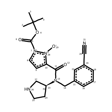 CC(C)(C)OC(=O)n1ccc(C(=O)N(Cc2cccc(C#N)c2)[C@H]2CCNC2)[n+]1[O-]